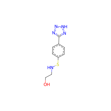 OCCNSc1ccc(-c2nn[nH]n2)cc1